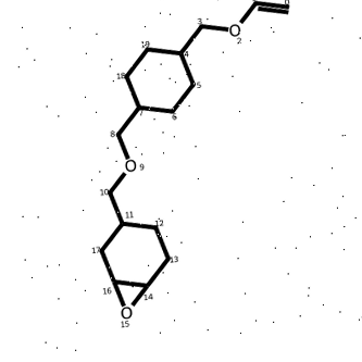 C=COCC1CCC(COCC2CCC3OC3C2)CC1